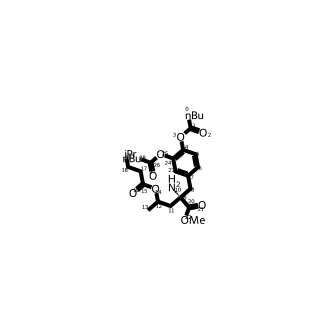 CCCCC(=O)Oc1ccc(C[C@](N)(CC(C)OC(=O)CCC(C)C)C(=O)OC)cc1OC(=O)CCCC